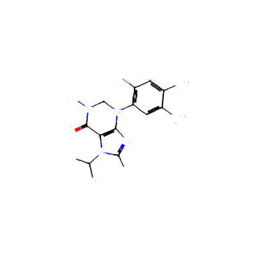 CCCC(CC)n1c(CC)nc2c1C(=O)N(C)CN2c1cc(OC)c(OC)cc1Cl